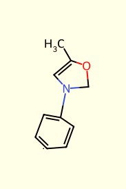 CC1=CN(c2cc[c]cc2)CO1